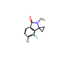 CN1C(=O)c2ccc(Br)c(F)c2C12CC2